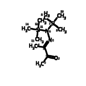 CC(=O)/C(C)=N/N([Si](C)(C)C)[Si](C)(C)C